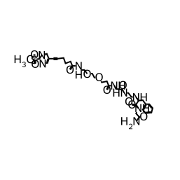 CS(=O)(=O)c1ncc(C#CCCCC(=O)NCCOCCOCCC(=O)NCC(=O)NCC(=O)NC(Cc2ccccc2)C(=O)NCC(N)=O)cn1